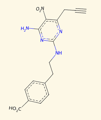 C#CCc1nc(NCCc2ccc(C(=O)O)cc2)nc(N)c1[N+](=O)[O-]